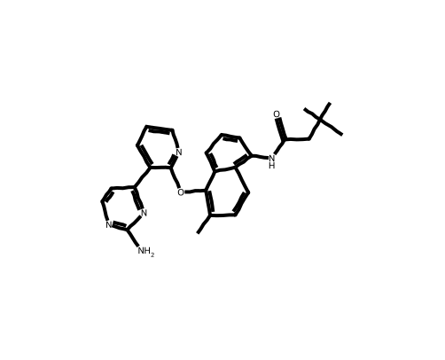 Cc1ccc2c(NC(=O)CC(C)(C)C)cccc2c1Oc1ncccc1-c1ccnc(N)n1